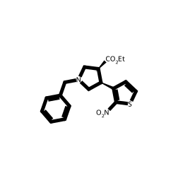 CCOC(=O)[C@@H]1CN(Cc2ccccc2)C[C@@H]1c1ccsc1[N+](=O)[O-]